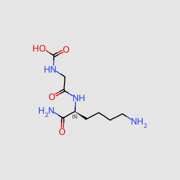 NCCCC[C@H](NC(=O)CNC(=O)O)C(N)=O